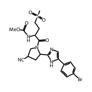 COC(=O)NC(CCS(C)(=O)=O)C(=O)N1CC(C#N)CC1c1ncc(-c2ccc(Br)cc2)[nH]1